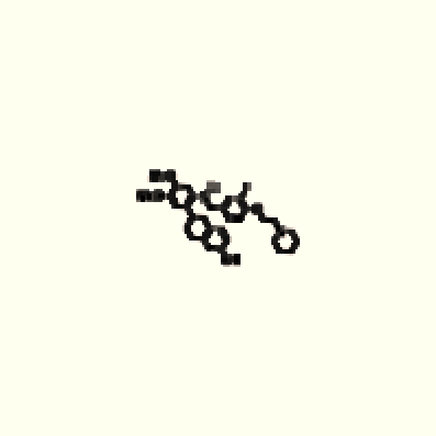 CCN(Cc1ccc(OCCN2CCCCC2)c(F)c1)c1cc(OC)c(OC)cc1C1CCc2cc(O)ccc2C1